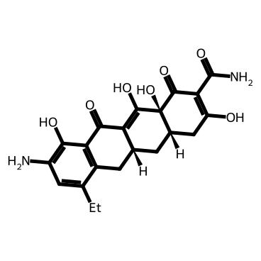 CCc1cc(N)c(O)c2c1C[C@H]1C[C@H]3CC(O)=C(C(N)=O)C(=O)[C@@]3(O)C(O)=C1C2=O